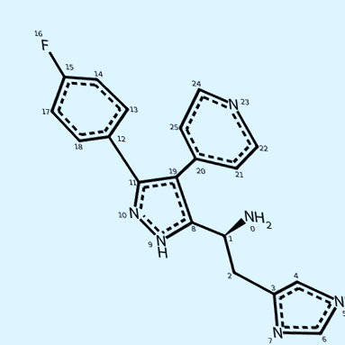 N[C@@H](Cc1c[nH]cn1)c1[nH]nc(-c2ccc(F)cc2)c1-c1ccncc1